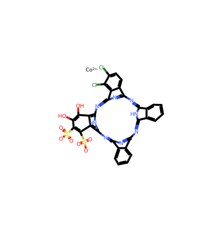 O=S(=O)([O-])c1c(O)c(O)c2c3nc4nc(nc5[nH]c(nc6nc(nc([nH]3)c2c1S(=O)(=O)[O-])-c1ccccc1-6)c1ccccc51)-c1ccc(Cl)c(Cl)c1-4.[Co+2]